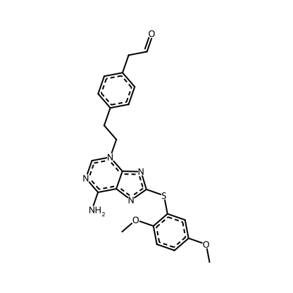 COc1ccc(OC)c(Sc2nc3c(N)ncn(CCc4ccc(CC=O)cc4)c-3n2)c1